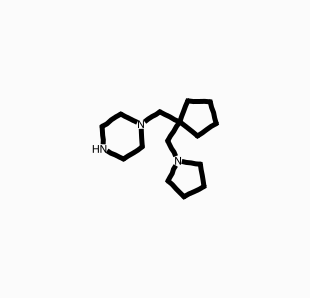 C1CCN(CC2(CN3CCNCC3)CCCC2)C1